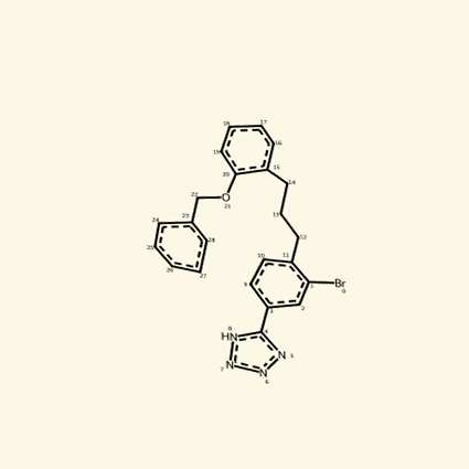 Brc1cc(-c2nnn[nH]2)ccc1CCCc1ccccc1OCc1ccccc1